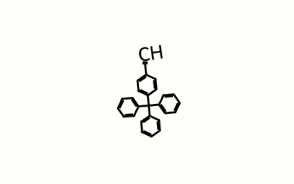 C#Cc1ccc(C(c2ccccc2)(c2ccccc2)c2ccccc2)cc1